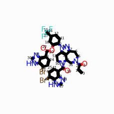 C=CC(=O)N1CCc2nn(-c3ccc(C(F)(F)F)cc3OC(=O)c3ccc(Br)c4[nH]cnc34)c3c2C(C1)N(C(=O)c1ccc(Br)c2[nH]cnc12)CC3